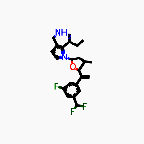 C=C(c1cc(F)cc(C(F)F)c1)C1OC(n2ccc(CN)c2C(C)CC)CC1C